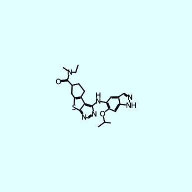 CCN(C)C(=O)C1CCc2c(sc3ncnc(Nc4cc5cn[nH]c5cc4OC(C)C)c23)C1